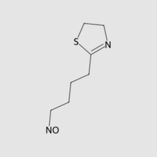 O=NCCCCC1=NCCS1